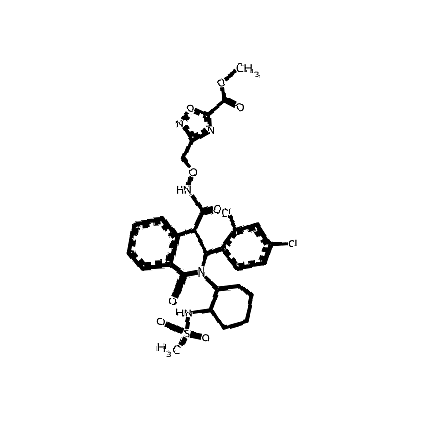 COC(=O)c1nc(CONC(=O)C2c3ccccc3C(=O)N(C3CCCCC3NS(C)(=O)=O)C2c2ccc(Cl)cc2Cl)no1